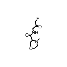 CN1CCOCC1C(=O)NCC(=O)CF